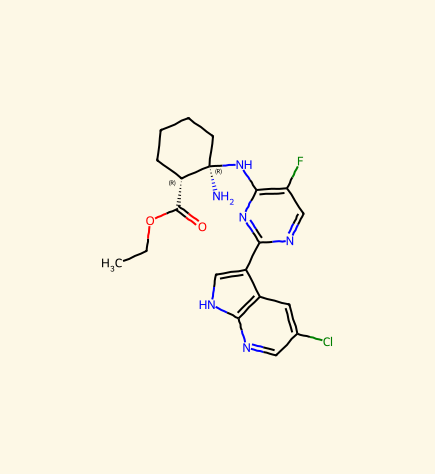 CCOC(=O)[C@@H]1CCCC[C@@]1(N)Nc1nc(-c2c[nH]c3ncc(Cl)cc23)ncc1F